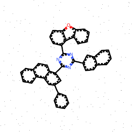 c1ccc(-c2cc(-c3nc(-c4ccc5ccccc5c4)nc(-c4cccc5oc6ccccc6c45)n3)c3ccc4ccccc4c3c2)cc1